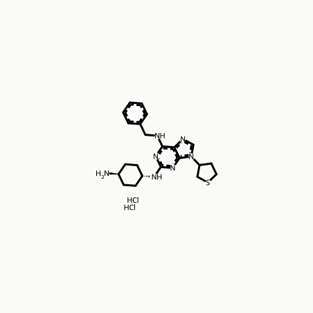 Cl.Cl.N[C@H]1CC[C@H](Nc2nc(NCc3ccccc3)c3ncn(C4CCSC4)c3n2)CC1